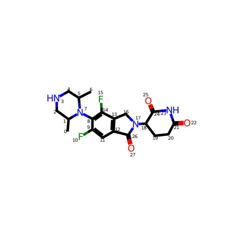 CC1CNCC(C)N1c1c(F)cc2c(c1F)CN(C1CCC(=O)NC1=O)C2=O